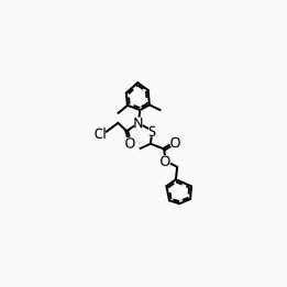 Cc1cccc(C)c1N(SC(C)C(=O)OCc1ccccc1)C(=O)CCl